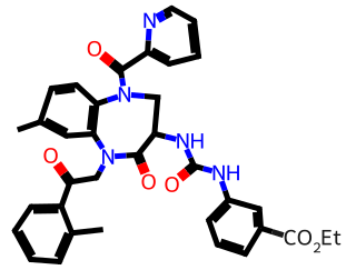 CCOC(=O)c1cccc(NC(=O)NC2CN(C(=O)c3ccccn3)c3ccc(C)cc3N(CC(=O)c3ccccc3C)C2=O)c1